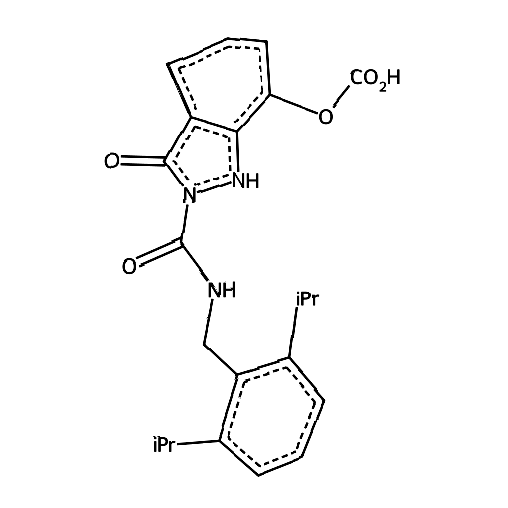 CC(C)c1cccc(C(C)C)c1CNC(=O)n1[nH]c2c(OC(=O)O)cccc2c1=O